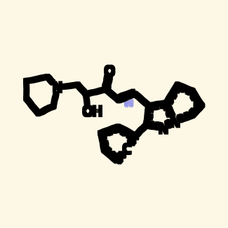 O=C(/C=C/c1c(-c2ccccc2)nn2ccccc12)C(O)CN1CCCCC1